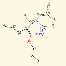 CCCOc1nc2ccc(Cl)cn2c(=S)c1CCC